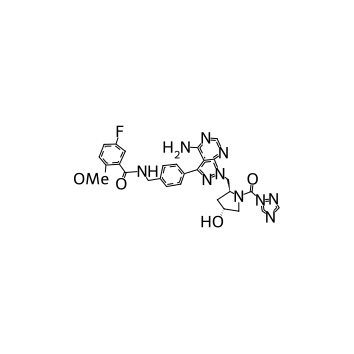 COc1ccc(F)cc1C(=O)NCc1ccc(-c2nn(C[C@@H]3C[C@@H](O)CN3C(=O)n3cncn3)c3ncnc(N)c23)cc1